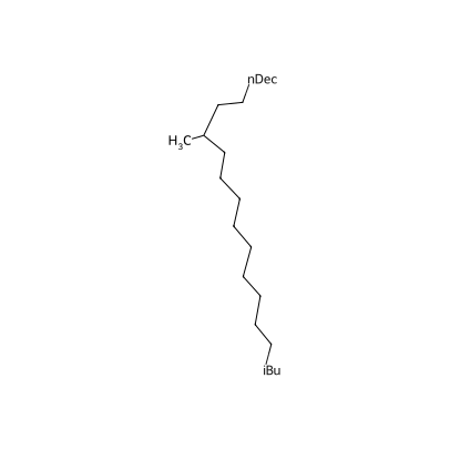 CCCCCCCCCCCCC(C)CCCCCCCCCC(C)CC